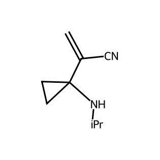 C=C(C#N)C1(NC(C)C)CC1